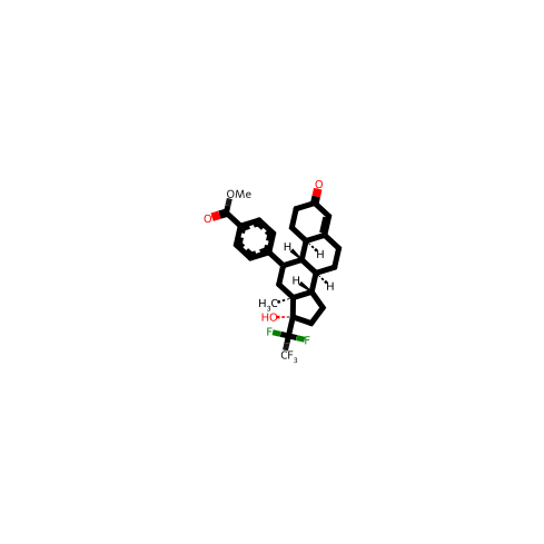 COC(=O)c1ccc(C2C[C@@]3(C)[C@@H](CC[C@@]3(O)C(F)(F)C(F)(F)F)[C@@H]3CCC4=CC(=O)CC[C@@H]4[C@@H]23)cc1